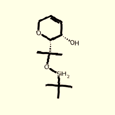 CC(C)(C)[SiH2]OC(C)(C)[C@@H]1OCC=C[C@@H]1O